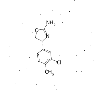 Cc1ccc([C@@H]2COC(N)=N2)cc1Cl